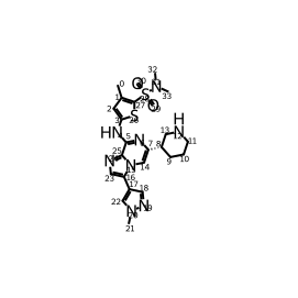 Cc1cc(Nc2nc([C@H]3CCCNC3)cn3c(-c4cnn(C)c4)cnc23)sc1S(=O)(=O)N(C)C